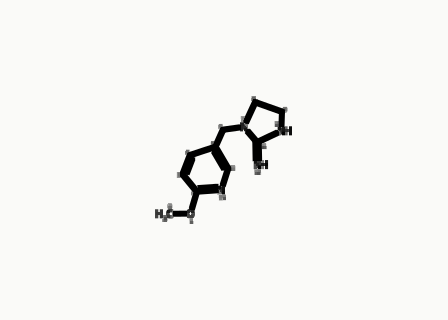 COc1ccc(CN2CCNC2=N)cn1